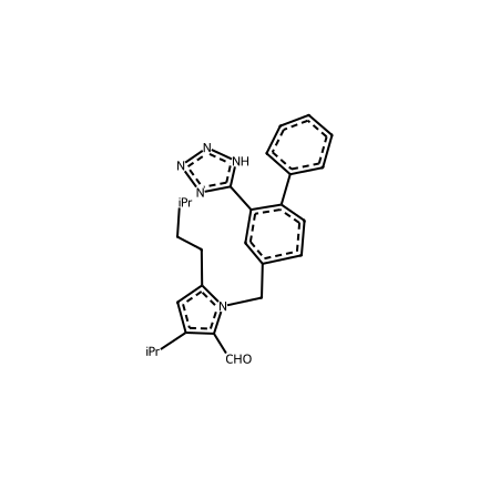 CC(C)CCc1cc(C(C)C)c(C=O)n1Cc1ccc(-c2ccccc2)c(-c2nnn[nH]2)c1